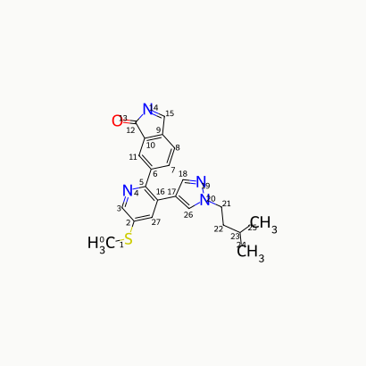 CSc1cnc(-c2ccc3c(c2)C(=O)N=C3)c(-c2cnn(CCC(C)C)c2)c1